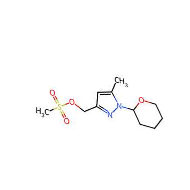 Cc1cc(COS(C)(=O)=O)nn1C1CCCCO1